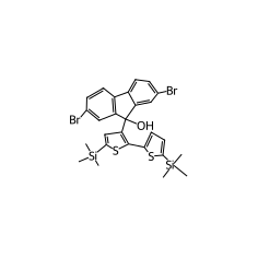 C[Si](C)(C)c1ccc(-c2sc([Si](C)(C)C)cc2C2(O)c3cc(Br)ccc3-c3ccc(Br)cc32)s1